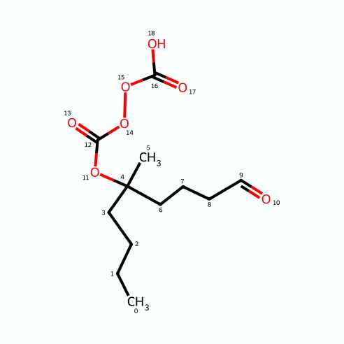 CCCCC(C)(CCCC=O)OC(=O)OOC(=O)O